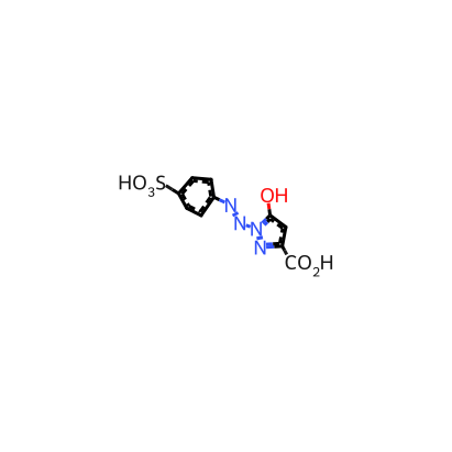 O=C(O)c1cc(O)n(N=Nc2ccc(S(=O)(=O)O)cc2)n1